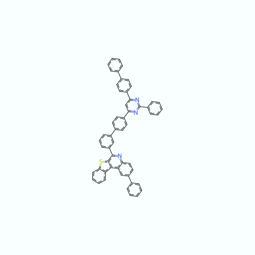 c1ccc(-c2ccc(-c3cc(-c4ccc(-c5cccc(-c6nc7ccc(-c8ccccc8)cc7c7c6sc6ccccc67)c5)cc4)nc(-c4ccccc4)n3)cc2)cc1